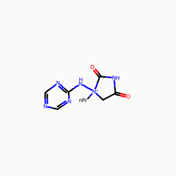 CCC[N+]1(Nc2ncncn2)CC(=O)NC1=O